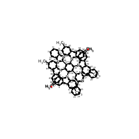 Cc1ccc2c(c1)c1cc(C)ccc1n2-c1c(-c2cc(-c3ccccc3)nc(-c3ccccc3)n2)c(-n2c3ccc(C)cc3c3cc(C)ccc32)c(-n2c3ccc(C)cc3c3cc(C)ccc32)c(-c2nc3ccccc3s2)c1-n1c2ccc(C)cc2c2cc(C)ccc21